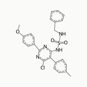 COc1ccc(-c2nc(Cl)c(-c3ccc(C)cc3)c(NS(=O)(=O)NCc3ccccc3)n2)cc1